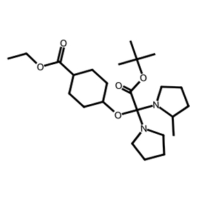 CCOC(=O)C1CCC(OC(C(=O)OC(C)(C)C)(N2CCCC2)N2CCCC2C)CC1